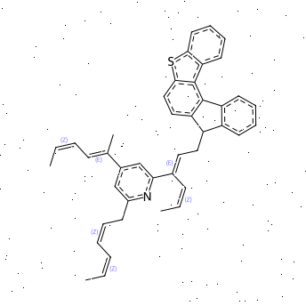 C/C=C\C=C/Cc1cc(/C(C)=C/C=C\C)cc(C(/C=C\C)=C/CC2c3ccccc3-c3c2ccc2sc4ccccc4c32)n1